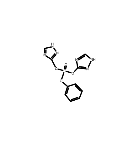 O=P(Oc1ccccc1)(Oc1nc[nH]n1)Oc1nc[nH]n1